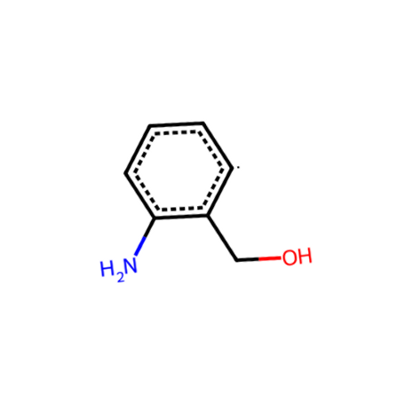 Nc1ccc[c]c1CO